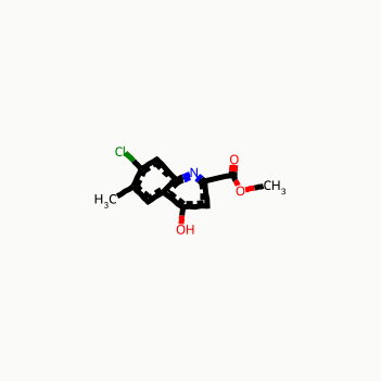 COC(=O)c1cc(O)c2cc(C)c(Cl)cc2n1